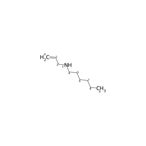 C=CCNCCCCCC